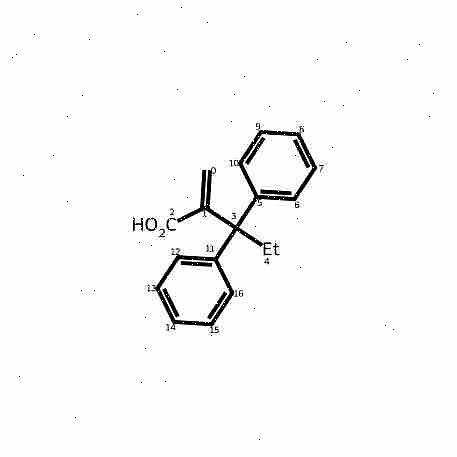 C=C(C(=O)O)C(CC)(c1ccccc1)c1ccccc1